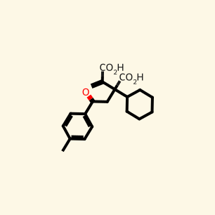 C=C(C(=O)O)C(CC(=O)c1ccc(C)cc1)(C(=O)O)C1CCCCC1